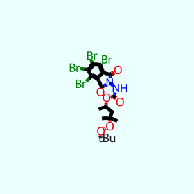 CC(CC(C)(C)OOC(C)(C)C)OC(=O)NN1C(=O)c2c(Br)c(Br)c(Br)c(Br)c2C1=O